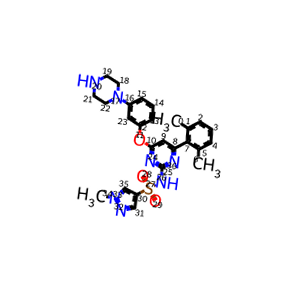 Cc1cccc(C)c1-c1cc(Oc2cccc(N3CCNCC3)c2)nc(NS(=O)(=O)c2cnn(C)c2)n1